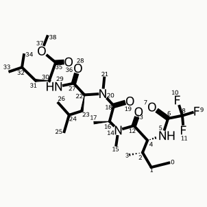 CC[C@H](C)[C@@H](NC(=O)C(F)(F)F)C(=O)N(C)[C@@H](C)C(=O)N(C)[C@@H](CC(C)C)C(=O)N[C@@H](CC(C)C)C(=O)OC